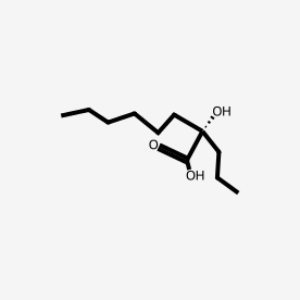 CCCCCC[C@@](O)(CCC)C(=O)O